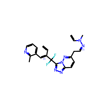 C=C/C(=C\c1cccnc1C)C(F)(F)c1nnc2ccc(C/C=N\N(C)C=C)nn12